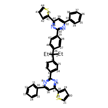 CCC(CC)(c1ccc(-c2nc(-c3ccccc3)cc(-c3cccs3)n2)cc1)c1ccc(-c2nc(-c3ccccc3)cc(-c3cccs3)n2)cc1